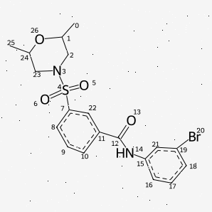 CC1CN(S(=O)(=O)c2cccc(C(=O)Nc3cccc(Br)c3)c2)CC(C)O1